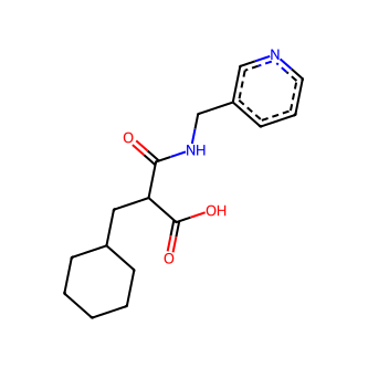 O=C(O)C(CC1CCCCC1)C(=O)NCc1cccnc1